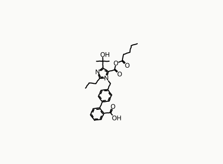 CCCCC(=O)OC(=O)c1c(C(C)(C)O)nc(CCC)n1Cc1ccc(-c2ccccc2C(=O)O)cc1